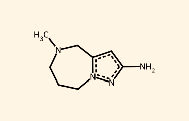 CN1CCCn2nc(N)cc2C1